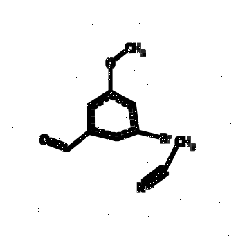 CC#N.COc1cc(Br)cc(C=O)c1